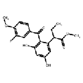 CCC(C(=O)OC)c1cc(O)cc(O)c1C(=O)c1ccc(OC)c(F)c1